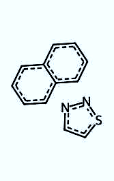 c1ccc2ccccc2c1.c1csnn1